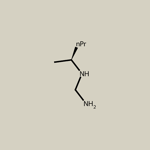 CCC[C@H](C)NCN